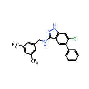 FC(F)(F)c1cc(CNc2n[nH]c3cc(Cl)c(-c4ccccc4)cc23)cc(C(F)(F)F)c1